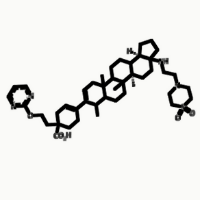 CC1C(C2=CCC(CCOc3ncccn3)(C(=O)O)CC2)=CCC2(C)C1CCC1(C)C2CCC2[C@H]3CCCC3(NCCN3CCS(=O)(=O)CC3)CC[C@]21C